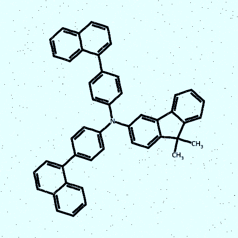 CC1(C)c2ccccc2-c2cc(N(c3ccc(-c4cccc5ccccc45)cc3)c3ccc(-c4cccc5ccccc45)cc3)ccc21